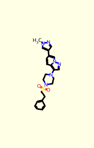 Cn1cc(-c2ccc3c(N4CCN(S(=O)(=O)CCc5ccccc5)CC4)cnn3c2)cn1